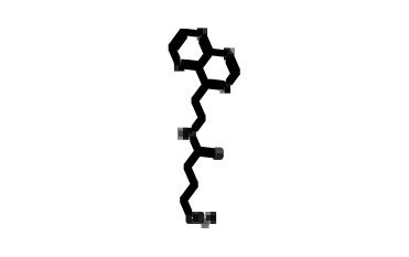 O=C(O)CCCC(=O)NCCc1ncnc2nccnc12